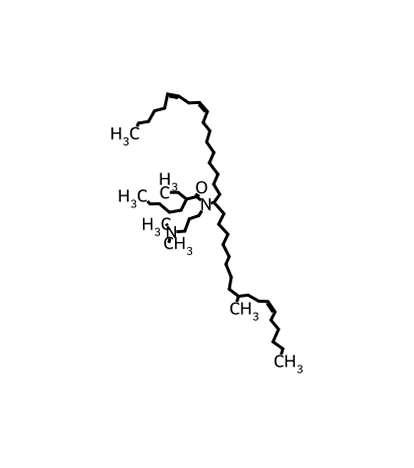 CCCCC/C=C\C/C=C\CCCCCCCCC(CCCCCCCCC(C)CC/C=C\CCCCC)N(CCCN(C)C)C(=O)C(CC)CCCCC